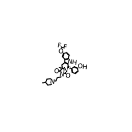 CC1CCN(CCCN2C(=O)N3[C@H](c4cccc(O)c4)c4[nH]c5ccc(OC(F)F)cc5c4C[C@@]3(C)C2=O)CC1